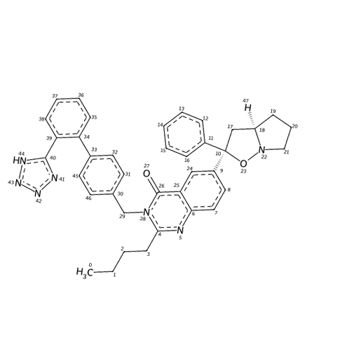 CCCCc1nc2ccc([C@]3(c4ccccc4)C[C@H]4CCCN4O3)cc2c(=O)n1Cc1ccc(-c2ccccc2-c2nnn[nH]2)cc1